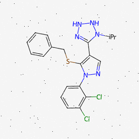 CC(C)N1NNN=C1c1cnn(-c2cccc(Cl)c2Cl)c1SCc1ccccc1